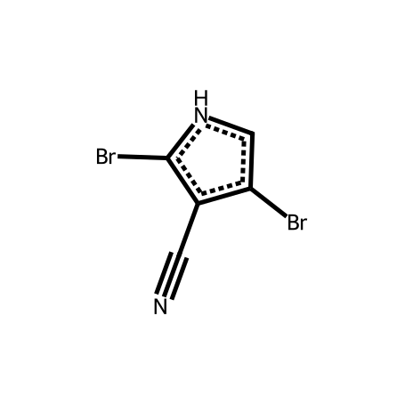 N#Cc1c(Br)c[nH]c1Br